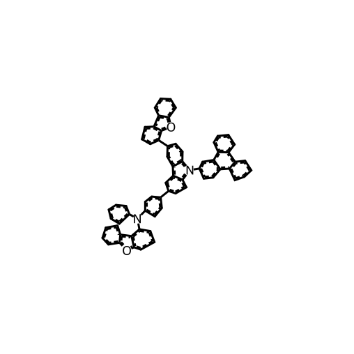 c1ccc(N(c2ccc(-c3ccc4c(c3)c3cc(-c5cccc6c5oc5ccccc56)ccc3n4-c3ccc4c5ccccc5c5ccccc5c4c3)cc2)c2cccc3oc4ccccc4c23)cc1